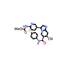 COC(=O)Nc1ccc(-c2cnc3cc(C#N)c(C(=O)N(C)c4ccc(F)cc4)cn23)cn1